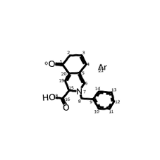 O=C1CC=CC2=CN(Cc3ccccc3)C(C(=O)O)C=C12.[Ar]